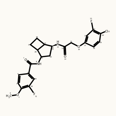 COc1ccc(C(=O)NC2C[C@H](NC(=O)COc3ccc(Cl)c(F)c3)C3CCC23)cc1F